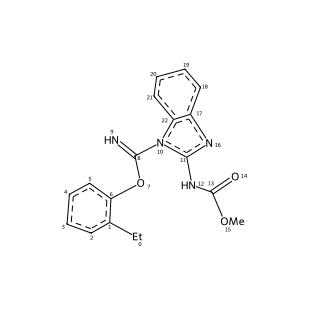 CCc1ccccc1OC(=N)n1c(NC(=O)OC)nc2ccccc21